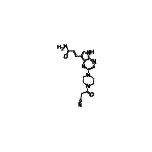 N#CCC(=O)N1CCN(c2cnc3[nH]cc(C=CC(N)=O)c3n2)CC1